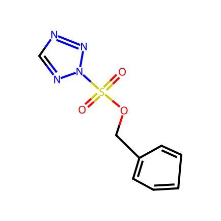 O=S(=O)(OCc1ccccc1)n1ncnn1